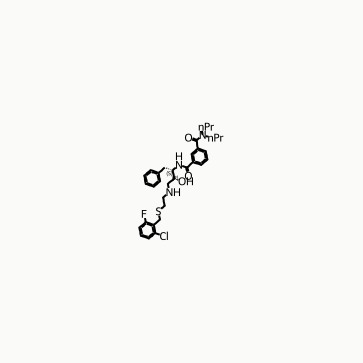 CCCN(CCC)C(=O)c1cccc(C(=O)N[C@@H](Cc2ccccc2)[C@H](O)CNCCSCc2c(F)cccc2Cl)c1